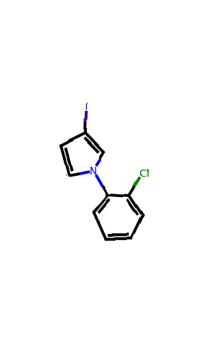 Clc1ccccc1-n1[c]cc(I)c1